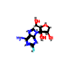 Nc1nc(F)nc2c1ncn2[C@@]1(O)[C@H](O)CO[C@@H]1CO